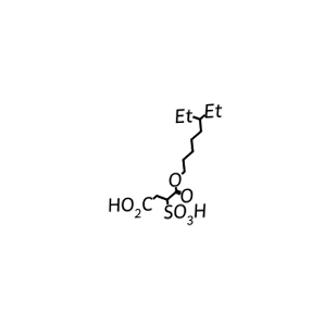 CCC(CC)CCCCCOC(=O)C(CC(=O)O)S(=O)(=O)O